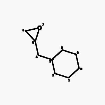 C1CC[C](CC2CO2)CC1